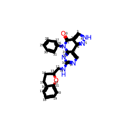 O=c1c2c[nH]nc2c2cnc(NCC3CCc4ccccc4O3)nc2n1-c1ccccc1